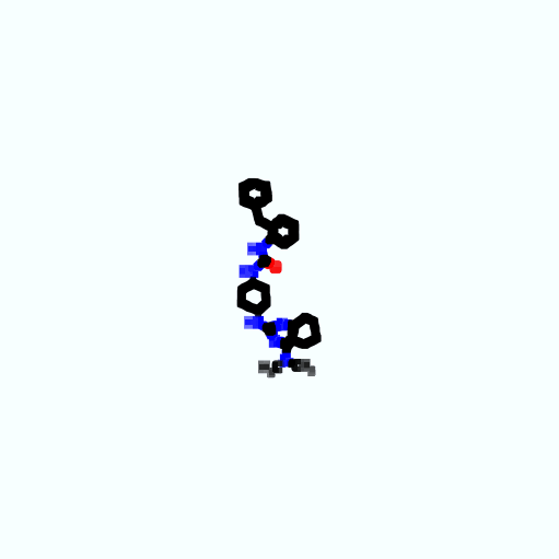 CN(C)c1nc(N[C@H]2CC[C@@H](NC(=O)Nc3ccccc3Cc3ccccc3)CC2)nc2c1CCCC2